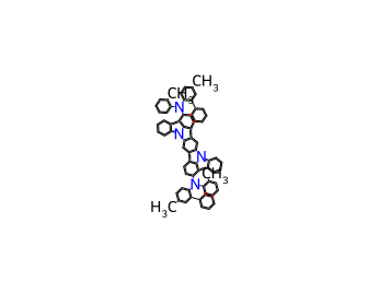 Cc1ccc(N(c2ccccc2C)c2ccc3c4cc5c(cc4n4c6ccccc6c2c34)c2ccc(N(c3ccccc3C)c3ccc(C)cc3-c3ccccc3)c3c4ccccc4n5c23)c(-c2ccccc2)c1